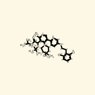 Cc1ncc(-c2ccc(OCCc3c(Cl)cccc3Cl)cn2)c(N2CCC(C)(C)CC2)c1C(OC(C)(C)C)C(=O)OC(C)C